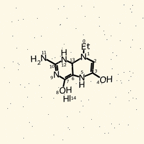 CCN1C=C(O)NC2=C(O)N=C(N)NC21.I